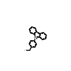 [CH2]Cc1ccc(-n2c3ccccc3c3ccccc32)cc1